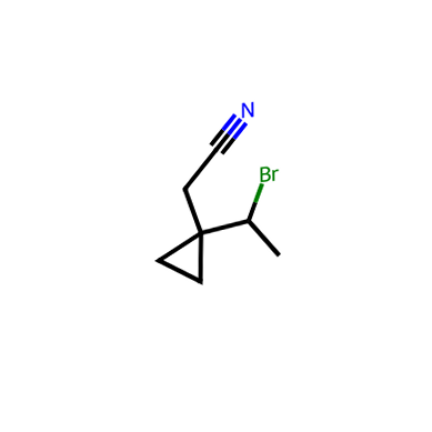 CC(Br)C1(CC#N)CC1